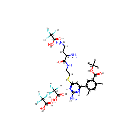 Cc1cc(C)c(-c2cc(SCCNC(=O)C(N)CCN)nc(N)n2)cc1C(=O)OC(C)(C)C.O=C(O)C(F)(F)F.O=C(O)C(F)(F)F.O=C(O)C(F)(F)F